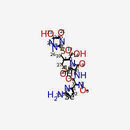 CON=C(C(=O)N[C@@H]1C(=O)N2C(C(=O)O)=C(CSc3nc(=O)c(O)nn3C)C[S+]([O-])[C@H]12)c1c[se]c(N)n1